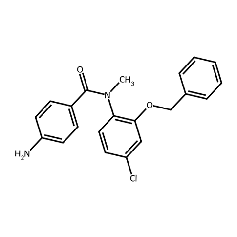 CN(C(=O)c1ccc(N)cc1)c1ccc(Cl)cc1OCc1ccccc1